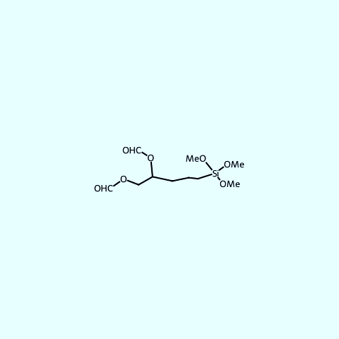 CO[Si](CCCC(COC=O)OC=O)(OC)OC